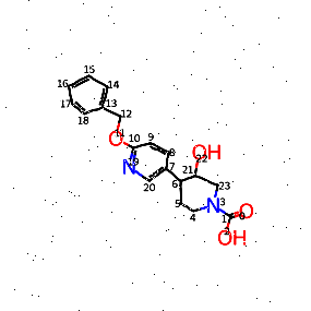 O=C(O)N1CCC(c2ccc(OCc3ccccc3)nc2)C(O)C1